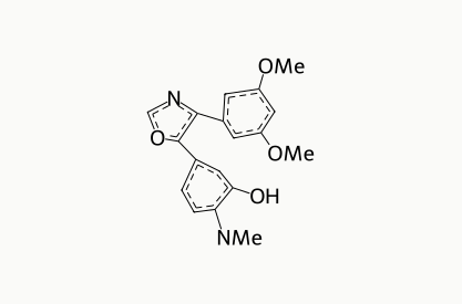 CNc1ccc(-c2ocnc2-c2cc(OC)cc(OC)c2)cc1O